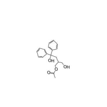 CC(=O)OCC(CO)CC(O)(c1ccccc1)c1ccccc1